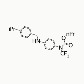 CCCOC(=O)N(c1ccc(NCc2ccc(C(C)C)cc2)cc1)C(F)(F)F